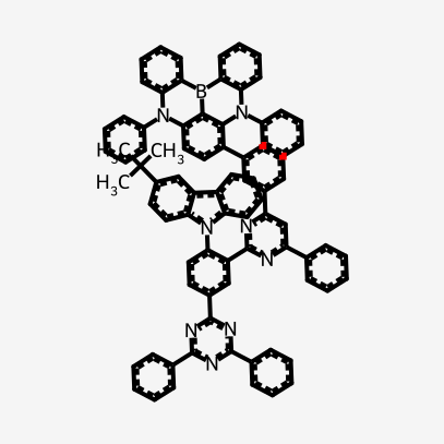 CC(C)(C)c1ccc2c(c1)c1ccccc1n2-c1ccc(-c2nc(-c3ccccc3)nc(-c3ccccc3)n2)cc1-c1nc(-c2ccccc2)cc(-c2cccc(-c3ccc4c5c3N(c3ccccc3)c3ccccc3B5c3ccccc3N4c3ccccc3)c2)n1